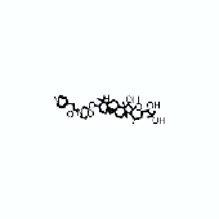 C[C@@H]1CC(C(O)C(C)(C)O)OC2C1C1(C)CCC34CC35CCC(OC3CN(C(=O)Cc6ccncc6)CCO3)C(C)(C)[C@@H]5CCC4[C@]1(C)[C@H]2O